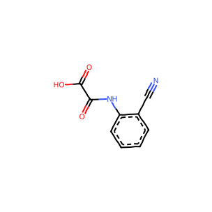 N#Cc1ccccc1NC(=O)C(=O)O